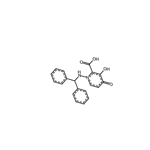 O=C(O)c1c(O)c(=O)ccn1NC(c1ccccc1)c1ccccc1